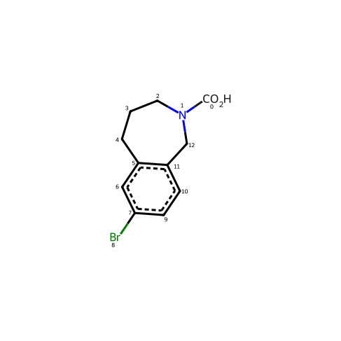 O=C(O)N1CCCc2cc(Br)ccc2C1